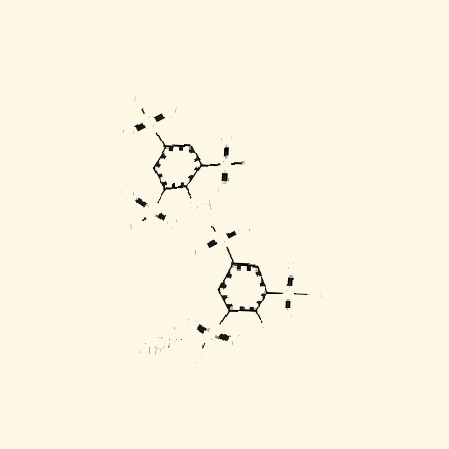 O=S(=O)([O-])c1cc(S(=O)(=O)[O-])c(S)c(S(=O)(=O)[O-])c1.O=S(=O)([O-])c1cc(S(=O)(=O)[O-])c(S)c(S(=O)(=O)[O-])c1.[Zn+2].[Zn+2].[Zn+2]